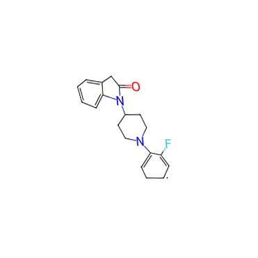 O=C1Cc2ccccc2N1C1CCN(C2=CC[CH]C=C2F)CC1